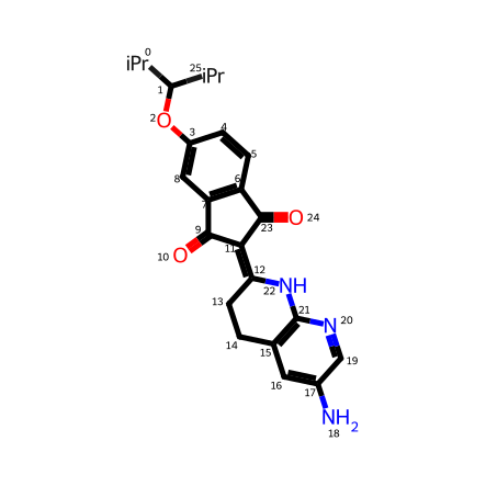 CC(C)C(Oc1ccc2c(c1)C(=O)/C(=C1\CCc3cc(N)cnc3N1)C2=O)C(C)C